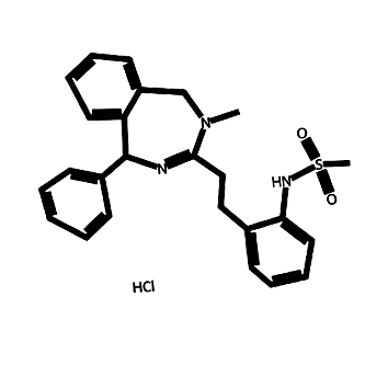 CN1Cc2ccccc2C(c2ccccc2)N=C1CCc1ccccc1NS(C)(=O)=O.Cl